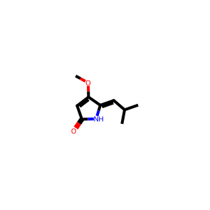 COC1=CC(=O)NC1=CC(C)C